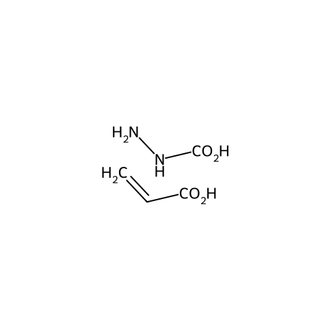 C=CC(=O)O.NNC(=O)O